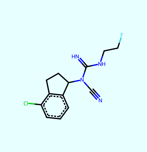 N#CN(C(=N)NCCF)C1CCc2c(Cl)cccc21